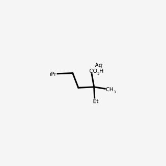 CCC(C)(CCC(C)C)C(=O)O.[Ag]